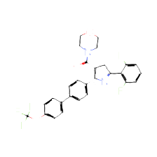 O=C([C@H]1CC(c2c(F)cccc2F)=N[C@H]1c1ccc(-c2ccc(OC(F)(F)F)cc2)cc1)N1CCOCC1